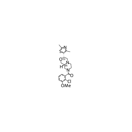 COc1cccc(C(=O)N2CCN3C[C@@H](c4sc(C)nc4C)OC[C@H]3C2)c1Cl